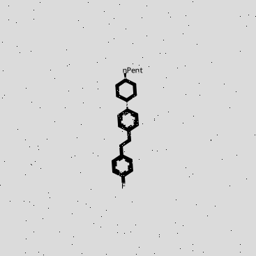 CCCCC[C@H]1CC[C@H](c2ccc(CCc3ccc(F)cc3)cc2)CC1